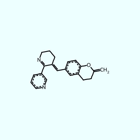 C=C1CCc2cc(/C=C3\CCCN=C3c3cccnc3)ccc2O1